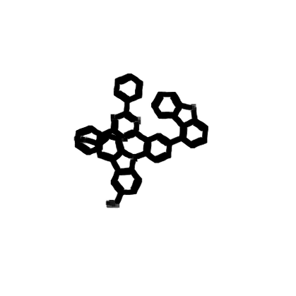 CC(C)(C)c1ccc2c(c1)c1cc(C(C)(C)C)ccc1n2-c1ccc(-c2cccc3sc4ccccc4c23)cc1-c1nc(-c2ccccc2)nc(-c2ccccc2)n1